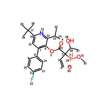 C=CC(C(=O)Oc1c(-c2ccc(F)cc2)cc(C(C)(C)C)nc1C(C)C)(C(C)O)[PH](=O)OC